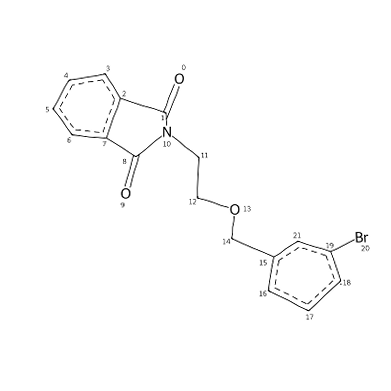 O=C1c2ccccc2C(=O)N1CCOCc1cc[c]c(Br)c1